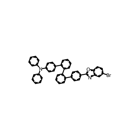 Brc1ccc2oc(-c3ccc(-c4ccccc4-c4ccccc4-c4ccc(N(c5ccccc5)c5ccccc5)cc4)cc3)nc2c1